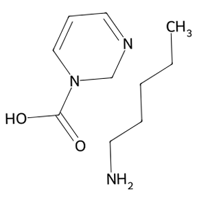 CCCCCN.O=C(O)N1C=CC=NC1